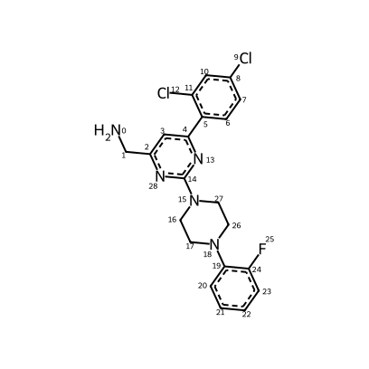 NCc1cc(-c2ccc(Cl)cc2Cl)nc(N2CCN(c3ccccc3F)CC2)n1